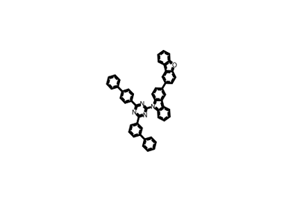 c1ccc(-c2ccc(-c3nc(-c4cccc(-c5ccccc5)c4)nc(-n4c5ccccc5c5cc(-c6ccc7oc8ccccc8c7c6)ccc54)n3)cc2)cc1